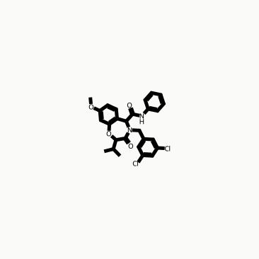 COc1ccc2c(c1)OC(C(C)C)C(=O)N(Cc1cc(Cl)cc(Cl)c1)C2C(=O)Nc1ccccc1